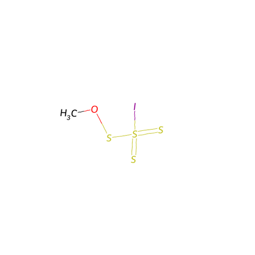 COSS(=S)(=S)I